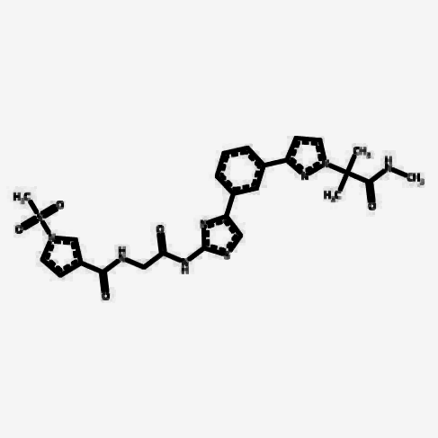 CNC(=O)C(C)(C)n1ccc(-c2cccc(-c3csc(NC(=O)CNC(=O)c4ccn(S(C)(=O)=O)c4)n3)c2)n1